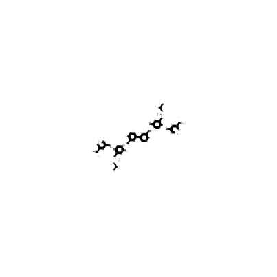 Cc1c(COc2cc(OCc3cncc(C(N)=O)c3)c(CNCC(O)CC(=O)O)cc2Cl)cccc1-c1cccc(COc2cc(OCc3cncc(C(N)=O)c3)c(CNCC(O)CC(=O)O)cc2Cl)c1C